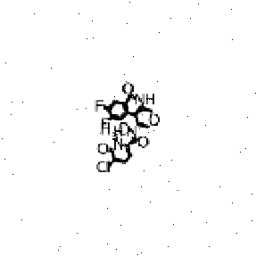 CN(C(=O)c1ccc(Cl)c(=O)[nH]1)[C@H]1COCc2[nH]c(=O)c3cc(F)c(F)cc3c21